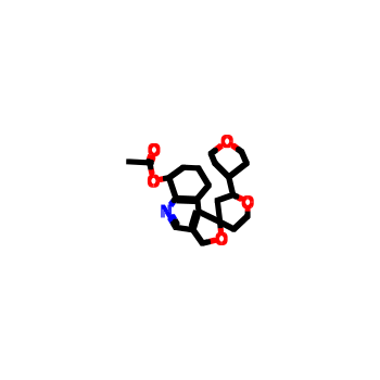 CC(=O)OC1CCCc2c1ncc1c2C2(CCOC(C3CCOCC3)C2)OC1